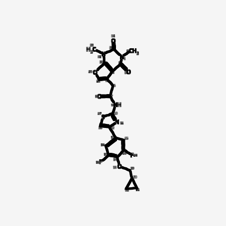 Cn1c(=O)c2c(CC(=O)Nc3nc(-c4cc(F)c(OCC5CC5)c(F)c4)cs3)coc2n(C)c1=O